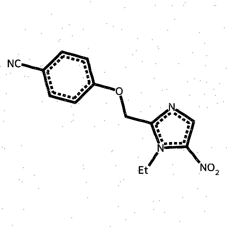 CCn1c([N+](=O)[O-])cnc1COc1ccc(C#N)cc1